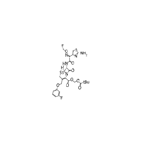 CC(C)(C)C(=O)OCOC(=O)C1=C(COc2cccc(F)c2)CS[C@H]2C(NC(=O)C(=NOCF)c3csc(N)n3)C(=O)N12